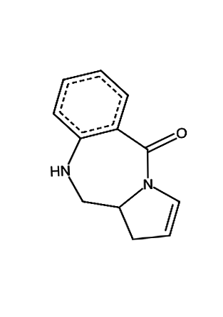 O=C1c2ccccc2NCC2CC=CN12